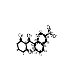 O=C1CCCC(=O)C1C(=O)c1c(Br)ccc2cc([N+](=O)[O-])cnc12